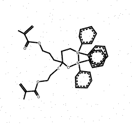 C=C(C)C(=O)OCCCC1(CCCOC(=O)C(=C)C)CC[Si](c2ccccc2)(c2ccccc2)[Si](c2ccccc2)(c2ccccc2)O1